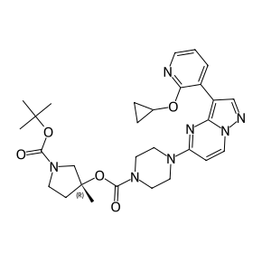 CC(C)(C)OC(=O)N1CC[C@@](C)(OC(=O)N2CCN(c3ccn4ncc(-c5cccnc5OC5CC5)c4n3)CC2)C1